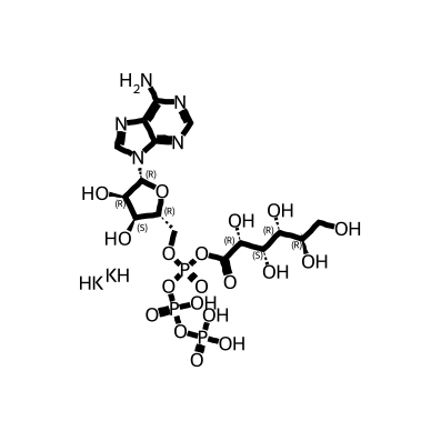 Nc1ncnc2c1ncn2[C@@H]1O[C@H](COP(=O)(OC(=O)[C@H](O)[C@@H](O)[C@H](O)[C@H](O)CO)OP(=O)(O)OP(=O)(O)O)[C@@H](O)[C@H]1O.[KH].[KH]